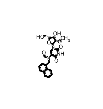 CO[C@@H]1[C@@H](O)[C@@H](CO)O[C@H]1n1cc(N(C=O)Cc2cccc3ccccc23)c(=O)[nH]c1=O